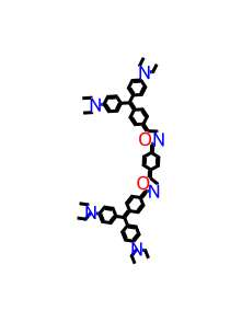 CCN(CC)c1ccc(C(c2ccc(N(CC)CC)cc2)=c2ccc(=c3cnc(=c4ccc(=c5cnc(=c6ccc(=C(c7ccc(N(CC)CC)cc7)c7ccc(N(CC)CC)cc7)cc6)o5)cc4)o3)cc2)cc1